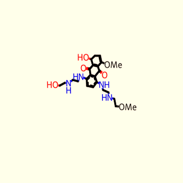 COCCNCCNc1ccc(NCCNCCO)c2c1C(=O)C1=C(C2=O)C(O)CC=C1OC